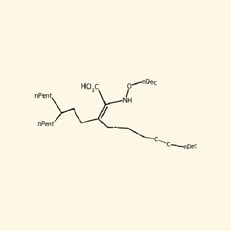 CCCCCCCCCCCCCCCC(CCC(CCCCC)CCCCC)=C(NOCCCCCCCCCC)C(=O)O